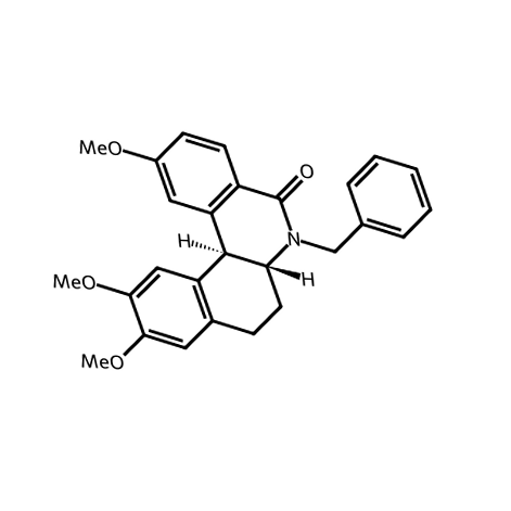 COc1ccc2c(c1)[C@@H]1c3cc(OC)c(OC)cc3CC[C@H]1N(Cc1ccccc1)C2=O